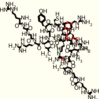 CC(C)C[C@H](NC(=O)[C@H](CCCNC(=N)N)NC(=O)CNC(=O)CNC(=O)[C@@H](N)CCCNC(=N)N)C(=O)N[C@@H](CS)C(=O)N[C@@H](Cc1ccc(O)cc1)C(=O)N[C@@H](CS)C(=O)N[C@@H](CCCNC(=N)N)C(=O)N[C@@H](CCCNC(=N)N)C(=O)N[C@@H](CCCNC(=N)N)C(=O)N[C@@H](Cc1ccccc1)C(=O)N[C@@H](CS)C(=O)N[C@H](C(=O)N[C@@H](CS)C(=O)N[C@H](C(=O)NCC(=O)N[C@@H](CCCNC(=N)N)C(=O)O)C(C)C)C(C)C